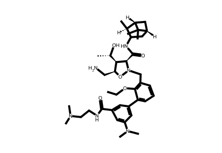 CCOc1c(CN2O[C@@H](CN)[C@@H]([C@H](C)O)[C@H]2C(=O)NC2C[C@H]3C[C@@H]([C@@H]2C)C3(C)C)cccc1-c1cc(C(=O)NCCN(C)C)cc(N(C)C)c1